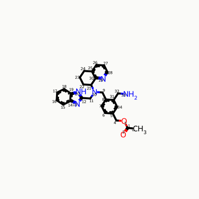 CC(=O)OCc1ccc(CN(Cc2nc3ccccc3[nH]2)C2CCCc3cccnc32)c(CN)c1